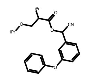 CC(C)OCC(C(=O)OC(C#N)c1cccc(Oc2ccccc2)c1)C(C)C